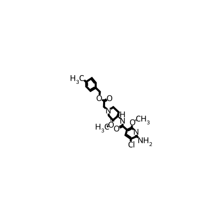 COc1nc(N)c(Cl)cc1C(=O)N[C@@H]1CCN(CC(=O)OCc2ccc(C)cc2)C[C@@H]1OC